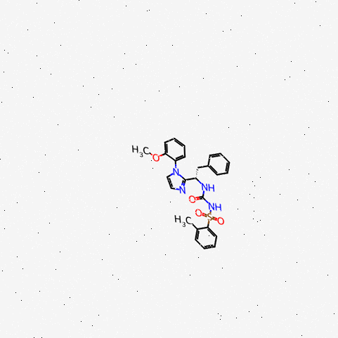 COc1ccccc1-n1ccnc1[C@H](Cc1ccccc1)NC(=O)NS(=O)(=O)c1ccccc1C